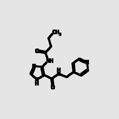 CCCC(=O)Nc1nc[nH]c1C(=O)NCc1ccncc1